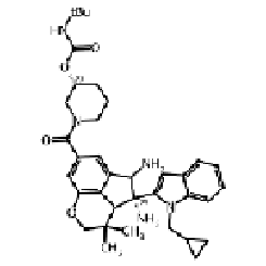 CC(C)(C)NC(=O)O[C@@H]1CCCN(C(=O)c2cc3c4c(c2)C(N)[C@@](N)(c2cc5ccccc5n2CC2CC2)C4C(C)(C)CO3)C1